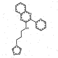 c1ccc(-c2nc3ccccc3nc2NCCCn2ccnc2)nc1